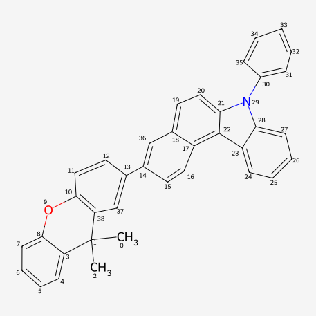 CC1(C)c2ccccc2Oc2ccc(-c3ccc4c(ccc5c4c4ccccc4n5-c4ccccc4)c3)cc21